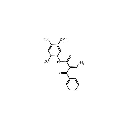 COc1cc(NC(=O)/C(=C\N)C(=O)C2=CCCC=C2)c(C(C)(C)C)cc1C(C)(C)C